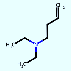 C=CCCN(CC)CC